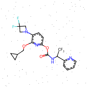 O=C(NC(c1ccccn1)C(F)(F)F)Oc1ccc(N2CC(F)(F)C2)c(OCC2CC2)n1